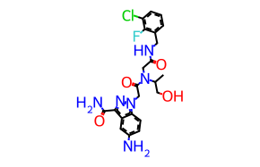 CC(CO)N(CC(=O)NCc1cccc(Cl)c1F)C(=O)Cn1nc(C(N)=O)c2cc(N)ccc21